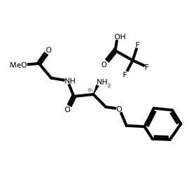 COC(=O)CNC(=O)[C@@H](N)COCc1ccccc1.O=C(O)C(F)(F)F